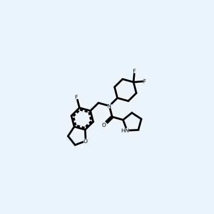 O=C(C1CCCN1)N(Cc1cc2c(cc1F)CCO2)C1CCC(F)(F)CC1